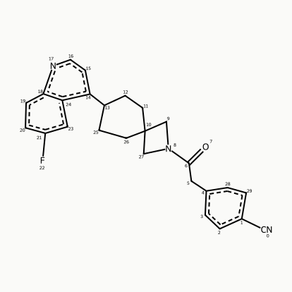 N#Cc1ccc(CC(=O)N2CC3(CCC(c4ccnc5ccc(F)cc45)CC3)C2)cc1